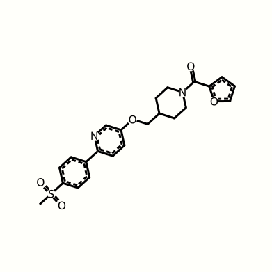 CS(=O)(=O)c1ccc(-c2ccc(OCC3CCN(C(=O)c4ccco4)CC3)cn2)cc1